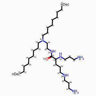 CCCCCCCCCCCCCCCCCCN(CCCCCCCCCCCCCCCCCC)CCNC(=O)C(CCCNCCCN)NCCCN